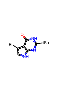 CCc1c[nH]c2nc(C(C)(C)C)[nH]c(=O)c12